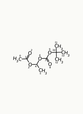 CC(=O)OC(C)OC(=O)OC(C)(C)C